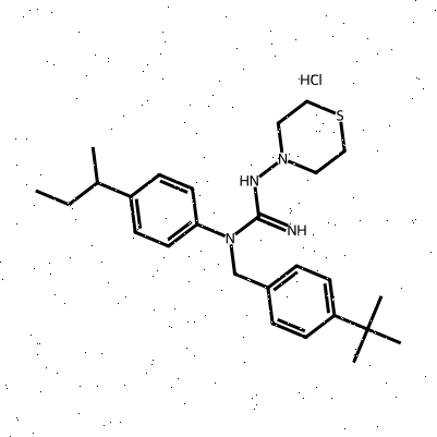 CCC(C)c1ccc(N(Cc2ccc(C(C)(C)C)cc2)C(=N)NN2CCSCC2)cc1.Cl